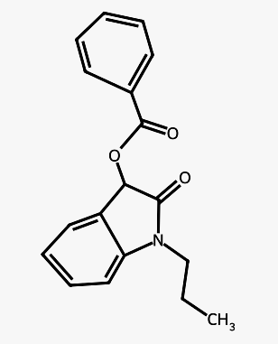 CCCN1C(=O)C(OC(=O)c2ccccc2)c2ccccc21